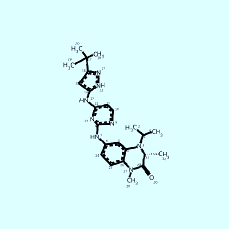 CC(C)N1c2cc(Nc3nccc(Nc4cc(C(C)(C)C)n[nH]4)n3)ccc2N(C)C(=O)[C@H]1C